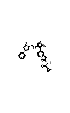 CN1C[C@@H](c2ccccc2)C[C@@H]1COc1cnn(C)c1-c1ccn2nc(NC(=O)C3CC3)cc2c1